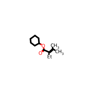 CCC(C(=O)OC1CCCCC1)=C(C)C